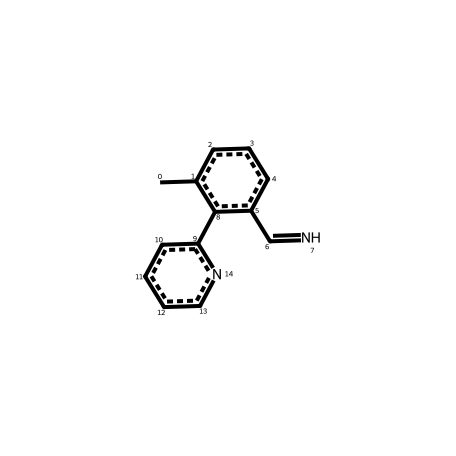 Cc1cccc(C=N)c1-c1ccccn1